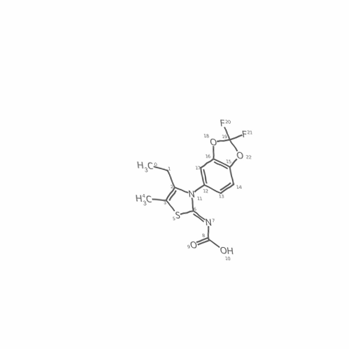 CCc1c(C)sc(=NC(=O)O)n1-c1ccc2c(c1)OC(F)(F)O2